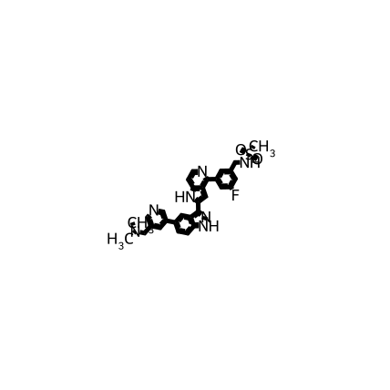 CN(C)Cc1cncc(-c2ccc3[nH]nc(-c4cc5c(-c6cc(F)cc(CNS(C)(=O)=O)c6)nccc5[nH]4)c3c2)c1